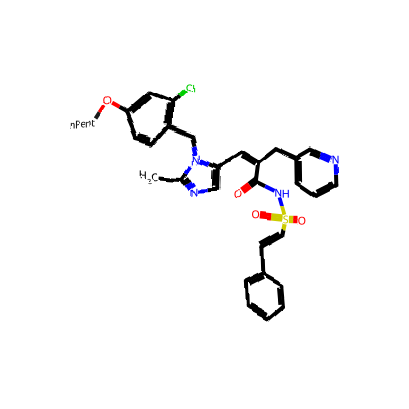 CCCCCOc1ccc(Cn2c(C=C(Cc3cccnc3)C(=O)NS(=O)(=O)C=Cc3ccccc3)cnc2C)c(Cl)c1